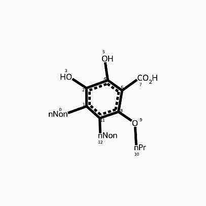 CCCCCCCCCc1c(O)c(O)c(C(=O)O)c(OCCC)c1CCCCCCCCC